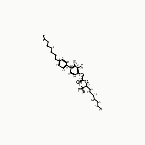 CCCCCCCCc1ccc(-c2ccc(OC(=O)OC(CCCCCCC)C(F)(F)F)c(F)c2F)cc1